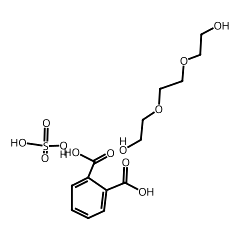 O=C(O)c1ccccc1C(=O)O.O=S(=O)(O)O.OCCOCCOCCO